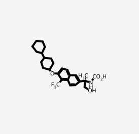 C[C@@](CO)(NC(=O)O)c1ccc2c(C(F)(F)F)c(OC3CCC(C4CCCCC4)CC3)ccc2c1